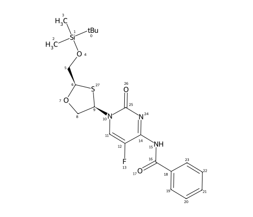 CC(C)(C)[Si](C)(C)OC[C@@H]1OC[C@H](n2cc(F)c(NC(=O)c3ccccc3)nc2=O)S1